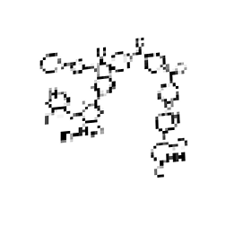 CC(C)n1cnc2cc(-c3ccc4c(c3)N(C3CC(N5CCCCC5)C3)C(=O)C43CCN(C(=O)C4CCN(C(=O)C5CCN(c6ccc([C@H]7CCC(=O)NC7=O)cn6)CC5)CC4)CC3)nc(Nc3ccncc3F)c21